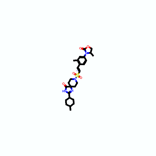 Cc1cc(N2C(=O)OCC2C)ccc1/C=C/S(=O)(=O)N1CCC2(CC1)N=C(C1CCC(C)CC1)NC2=O